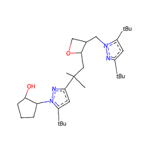 CC(C)(C)c1cc(C(C)(C)C)n(CC2COC2CC(C)(C)c2cc(C(C)(C)C)n(C3CCCC3O)n2)n1